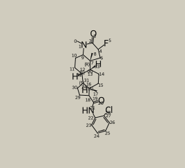 CN1C(=O)C(F)C[C@@]2(C)C1CC[C@@H]1[C@H]2CC[C@]2(C)C(C(=O)Nc3ccccc3Cl)CC[C@@H]12